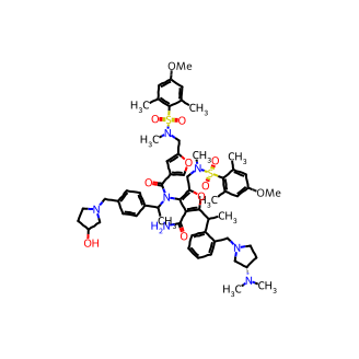 COc1cc(C)c(S(=O)(=O)N(C)Cc2cc(C(=O)N(c3c(CN(C)S(=O)(=O)c4c(C)cc(OC)cc4C)oc(C(C)c4ccccc4CN4CC[C@H](N(C)C)C4)c3C(N)=O)C(C)c3ccc(CN4CCC(O)C4)cc3)co2)c(C)c1